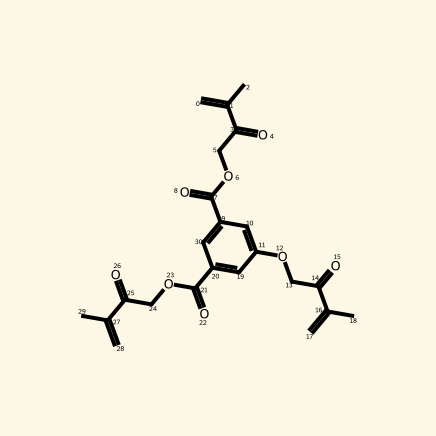 C=C(C)C(=O)COC(=O)c1cc(OCC(=O)C(=C)C)cc(C(=O)OCC(=O)C(=C)C)c1